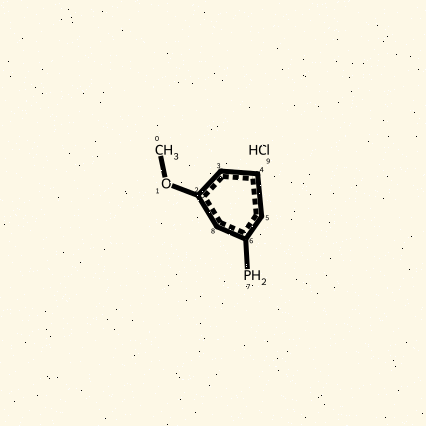 COc1cccc(P)c1.Cl